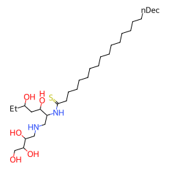 CCCCCCCCCCCCCCCCCCCCCCCCCC(=S)NC(CNCC(O)C(O)CO)C(O)CC(O)CC